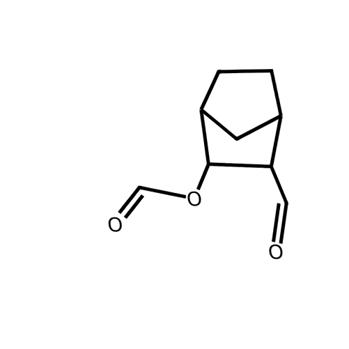 O=COC1C2CCC(C2)C1C=O